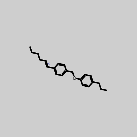 CCCC/C=C/c1ccc(COc2ccc(CCC)cc2)cc1